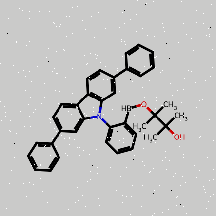 CC(C)(O)C(C)(C)OBc1ccccc1-n1c2cc(-c3ccccc3)ccc2c2ccc(-c3ccccc3)cc21